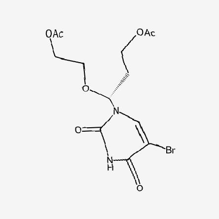 CC(=O)OCCO[C@H](CCOC(C)=O)n1cc(Br)c(=O)[nH]c1=O